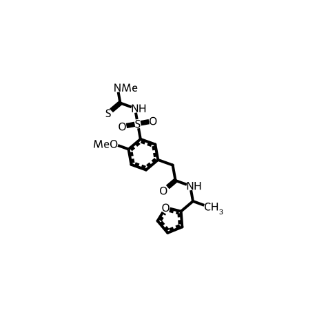 CNC(=S)NS(=O)(=O)c1cc(CC(=O)NC(C)c2ccco2)ccc1OC